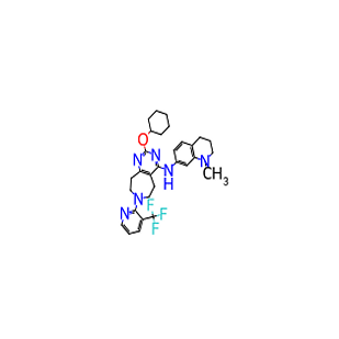 CN1CCCc2ccc(Nc3nc(OC4CCCCC4)nc4c3CCN(c3ncccc3C(F)(F)F)CC4)cc21